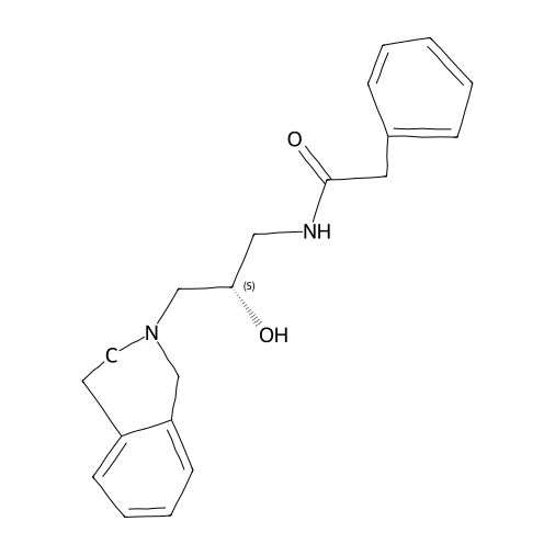 O=C(Cc1ccccc1)NC[C@H](O)CN1CCc2ccccc2C1